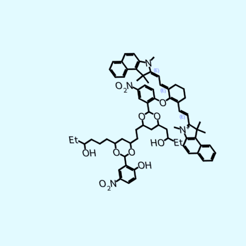 CCC(O)CCCC1CC(CCC2CC(CC(O)CC)OC(c3cc([N+](=O)[O-])ccc3OC3=C(/C=C/C4=[N+](C)c5ccc6ccccc6c5C4(C)C)CCC/C3=C\C=C3\N(C)c4ccc5ccccc5c4C3(C)C)O2)OC(c2cc([N+](=O)[O-])ccc2O)O1